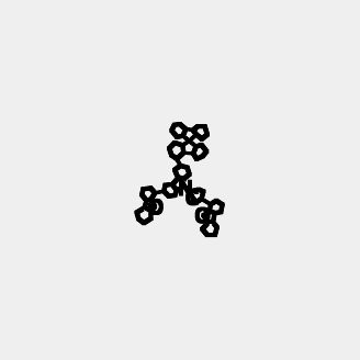 c1ccc2c(c1)-c1ccccc1C21c2ccccc2-c2c(-c3ccc4c(c3)c3cc(-c5cccc6c5oc5ccccc56)ccc3n4-c3ccc(-c4cccc5c4oc4ccccc45)cc3)cccc21